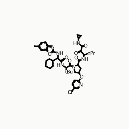 CCCC(NC(=O)C1CC(Oc2ccc(Cl)cn2)CN1C(=O)C(NC(=O)C(Nc1nc2ccc(C)cc2o1)C1CCCCC1)C(C)(C)C)C(=O)C(=O)NC1CC1